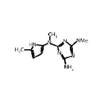 CNc1nc(N)nc(N(C)c2ccc(C)[nH]2)n1